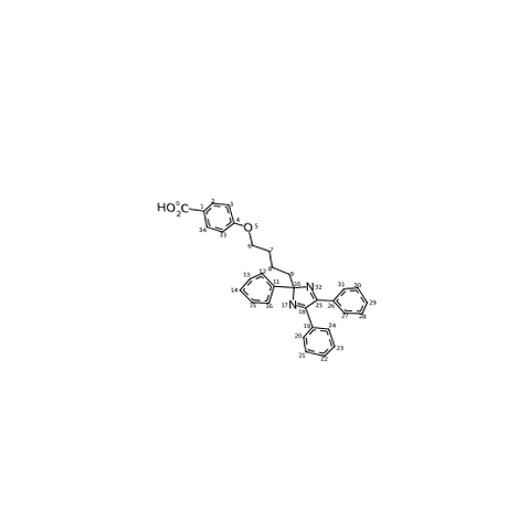 O=C(O)c1ccc(OCCCCC2(c3ccccc3)N=C(c3ccccc3)C(c3ccccc3)=N2)cc1